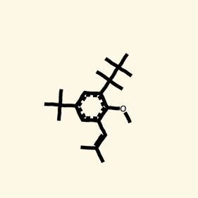 COc1c(C=C(C)C)cc(C(C)(C)C)cc1C(C)(C)C(C)(C)C